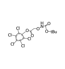 CC(C)(C)OC(=O)NOCC(=O)Oc1c(Cl)c(Cl)c(Cl)c(Cl)c1Cl